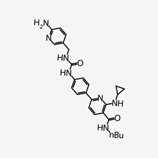 CCCCNC(=O)c1ccc(-c2ccc(NC(=O)NCc3ccc(N)nc3)cc2)nc1NC1CC1